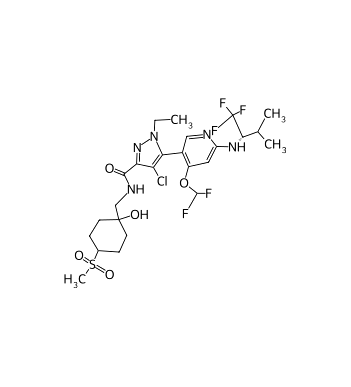 CCn1nc(C(=O)NCC2(O)CCC(S(C)(=O)=O)CC2)c(Cl)c1-c1cnc(N[C@@H](C(C)C)C(F)(F)F)cc1OC(F)F